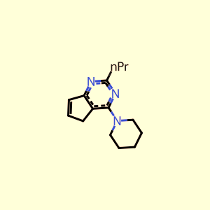 CCCc1nc2c(c(N3CCCCC3)n1)CC=C2